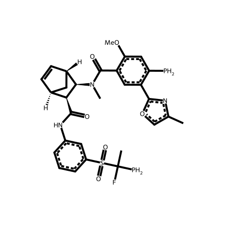 COc1cc(P)c(-c2nc(C)co2)cc1C(=O)N(C)[C@H]1[C@@H](C(=O)Nc2cccc(S(=O)(=O)C(C)(F)P)c2)[C@H]2C=C[C@H]1C2